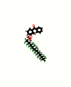 O=c1c2ccccc2sc2c(OS(=O)(=O)C(F)(F)C(F)(F)C(F)(F)C(F)(F)C(F)(F)C(F)(F)C(F)(F)C(F)(F)C(F)(F)C(F)(F)F)cccc12